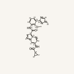 COc1c(NC(=O)c2cnn3cc(NC(=O)C4CC4)cnc23)cccc1-c1ncn(C)n1